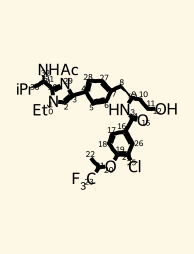 CCn1cc(-c2ccc(C[C@@H](CCO)NC(=O)c3ccc(OC(C)C(F)(F)F)c(Cl)c3)cc2)nc1[C@H](NC(C)=O)C(C)C